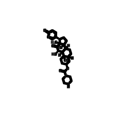 C[C@]12CC[C@H](OC(=O)N3CCNCC3)C[C@H]1CC[C@@H]1[C@@H]2[C@H](O)C(=O)[C@]2(C)[C@@H](c3ccc(=O)oc3)CC[C@]12O